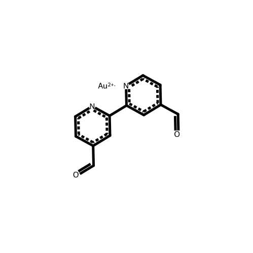 O=Cc1ccnc(-c2cc(C=O)ccn2)c1.[Au+2]